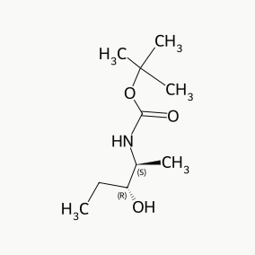 CC[C@@H](O)[C@H](C)NC(=O)OC(C)(C)C